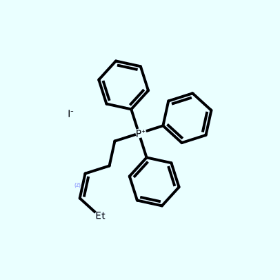 CC/C=C\CC[P+](c1ccccc1)(c1ccccc1)c1ccccc1.[I-]